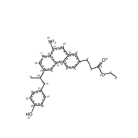 CCOC(=O)CCc1ccc2c(c1)nc(N)c1ncc(C(C)Cc3ccc(O)cc3)cc12